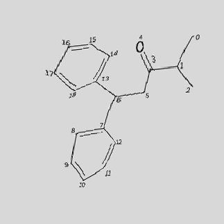 CC(C)C(=O)CC(c1ccccc1)c1ccccc1